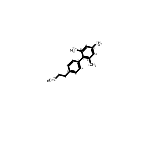 CCCCCCCCCCCCc1ccc(-c2c(C)cc(C)cc2C)cc1